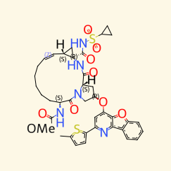 COC(=O)N[C@H]1CCCCC/C=C\[C@@H]2C[C@@]2(C(=O)NS(=O)(=O)C2CC2)NC(=O)[C@@H]2C[C@@H](Oc3cc(-c4ccc(C)s4)nc4c3oc3ccccc34)CN2C1=O